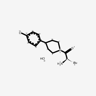 CC[C@@H](C)[C@@H](N)C(=O)N1CCC(c2ccc(Cl)cc2)CC1.Cl